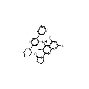 Cc1c(N2CCCC2=O)nc2cc(F)cc(F)c2c1Nc1cc(N2CCOCC2)ncc1-c1cncnc1